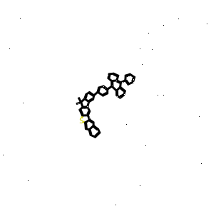 CC1(C)c2ccc(-c3ccc(-c4c5ccccc5c(-c5ccccc5)c5ccccc45)cc3)cc2-c2cc3c(cc21)sc1cc2ccccc2cc13